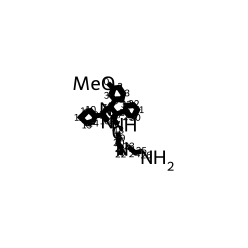 COc1cccc(-c2nc(-c3ccccc3)nc(NCCCN(C)CCCN)c2-c2ccccc2)c1